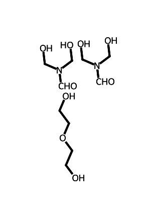 O=CN(CO)CO.O=CN(CO)CO.OCCOCCO